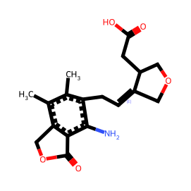 Cc1c(C)c2c(c(N)c1C/C=C1/COCC1CC(=O)O)C(=O)OC2